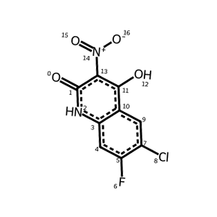 O=c1[nH]c2cc(F)c(Cl)cc2c(O)c1[N+](=O)[O-]